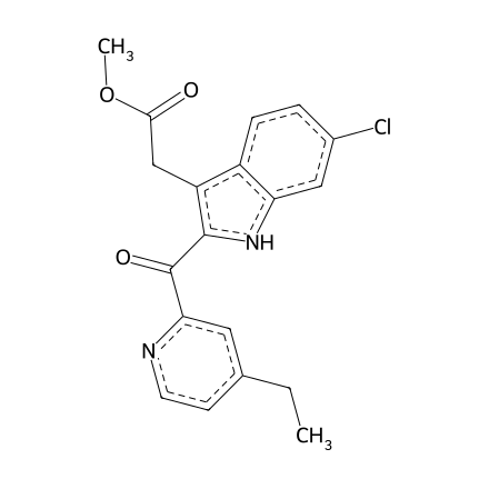 CCc1ccnc(C(=O)c2[nH]c3cc(Cl)ccc3c2CC(=O)OC)c1